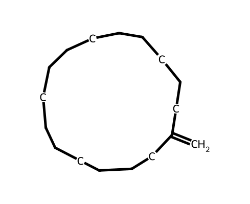 C=C1CCCCCCCCCCCCCCC1